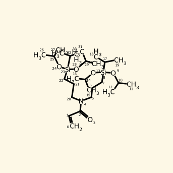 C=CC(=O)N(CCC[Si](OC(C)C)(OC(C)C)C(C)C)CCC[Si](OC(C)C)(OC(C)C)C(C)C